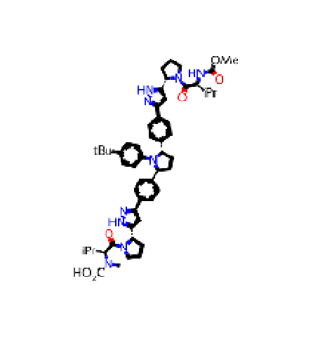 COC(=O)N[C@H](C(=O)N1CCC[C@H]1c1cc(-c2ccc([C@@H]3CC[C@@H](c4ccc(-c5cc([C@@H]6CCCN6C(=O)[C@H](C(C)C)N(C)C(=O)O)[nH]n5)cc4)N3c3ccc(C(C)(C)C)cc3)cc2)n[nH]1)C(C)C